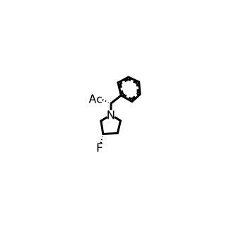 CC(=O)[C@H](c1ccccc1)N1CC[C@H](F)C1